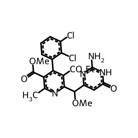 CCOC(=O)c1c(C(OC)c2cc(=O)[nH]c(N)n2)nc(C)c(C(=O)OC)c1-c1cccc(Cl)c1Cl